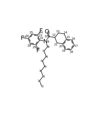 CCCCCCCCCN(C(=O)C1CCc2ccccc2C1)c1c(F)cc(F)cc1F